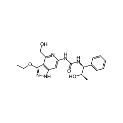 CCOc1n[nH]c2cc(NC(=O)N[C@@H](c3ccccc3)[C@@H](C)O)nc(CO)c12